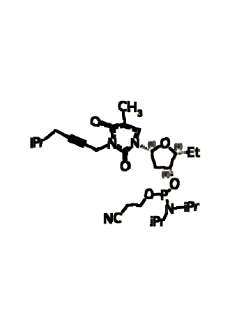 CC[C@H]1O[C@@H](n2cc(C)c(=O)n(CC#CCC(C)C)c2=O)C[C@H]1OP(OCCC#N)N(C(C)C)C(C)C